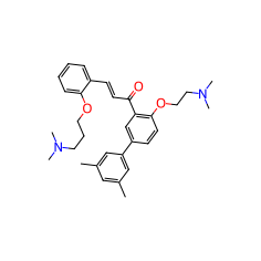 Cc1cc(C)cc(-c2ccc(OCCN(C)C)c(C(=O)C=Cc3ccccc3OCCCN(C)C)c2)c1